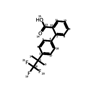 CC(C)(c1ccc(-c2ccccc2C(=O)O)cc1)C(F)(F)F